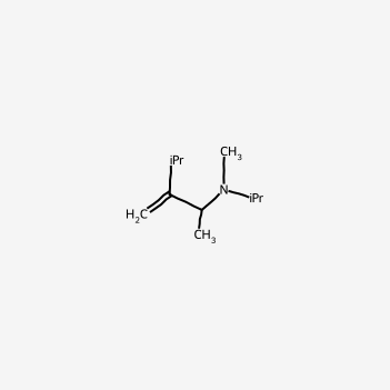 C=C(C(C)C)C(C)N(C)C(C)C